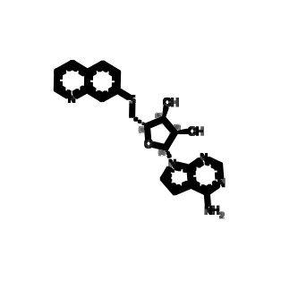 Nc1ncnc2c1ccn2[C@@H]1O[C@H](CSc2ccc3cccnc3c2)[C@@H](O)[C@H]1O